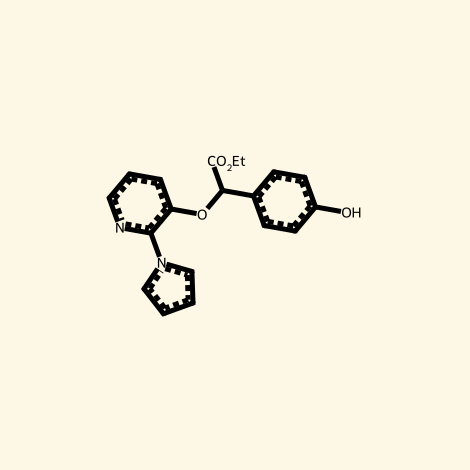 CCOC(=O)C(Oc1cccnc1-n1cccc1)c1ccc(O)cc1